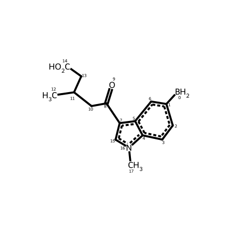 Bc1ccc2c(c1)c(C(=O)CC(C)CC(=O)O)cn2C